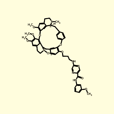 COc1cccc(NC(=O)c2cnc(NCCCOc3ccc4cc3Oc3ccc(cc3)C[C@H]3c5cc(c(OC)cc5CCN3C)Oc3c(OC)c(OC)cc5c3C(C4)N(C)CC5)cn2)c1